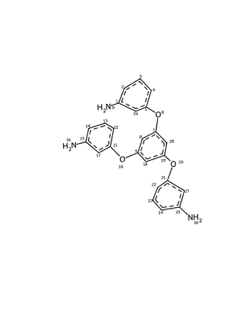 Nc1cccc(Oc2cc(Oc3cccc(N)c3)cc(Oc3cccc(N)c3)c2)c1